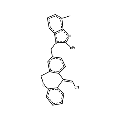 CCCc1nc2c(C)cccc2n1Cc1ccc2c(c1)COc1ccccc1C2=CC#N